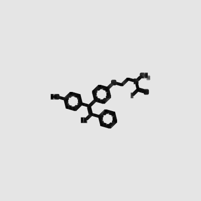 CC/C(=C(\c1ccc(O)cc1)c1ccc(OCCN(C)C(=O)I)cc1)c1ccccc1